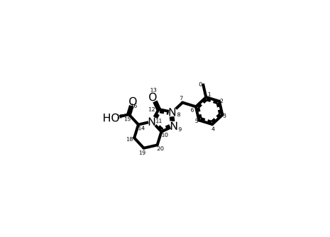 Cc1ccccc1Cn1nc2n(c1=O)C(C(=O)O)CCC2